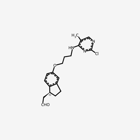 Cc1cnc(Cl)nc1NCCCOc1ccc2c(c1)CC[C@H]2CC=O